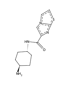 N[C@H]1CC[C@H](NC(=O)c2cn3ccsc3n2)CC1